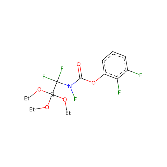 CCO[Si](OCC)(OCC)C(F)(F)N(F)C(=O)Oc1cccc(F)c1F